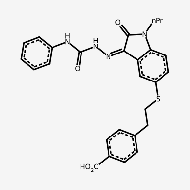 CCCN1C(=O)/C(=N\NC(=O)Nc2ccccc2)c2cc(SCCc3ccc(C(=O)O)cc3)ccc21